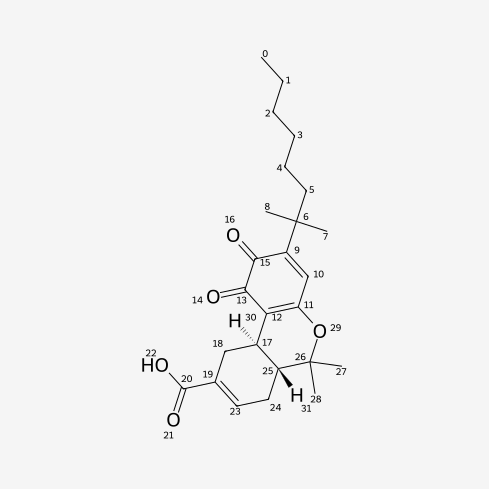 CCCCCCC(C)(C)C1=CC2=C(C(=O)C1=O)[C@@H]1CC(C(=O)O)=CC[C@H]1C(C)(C)O2